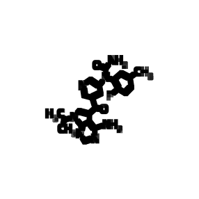 Cc1ccc(F)c(N(C(N)=O)c2cncc(C(=O)c3cn(C(C)C)c4ncnc(N)c34)c2)c1